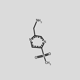 CS(=O)(=O)c1cnc(CN)cn1